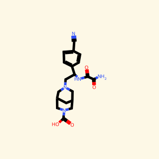 N#Cc1ccc(C(CN2CC3CC(C2)CN(C(=O)O)C3)NC(=O)C(N)=O)cc1